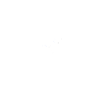 O=C(O)CCC(NC(=O)NCCS)C(=O)O